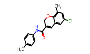 [CH2]c1ccc(NC(=O)C2=Cc3cc(Cl)cc(C)c3OC2)cc1